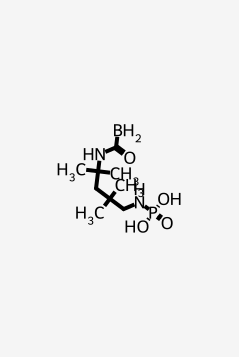 BC(=O)NC(C)(C)CC(C)(C)CNP(=O)(O)O